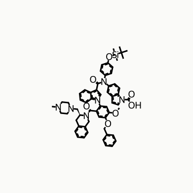 COc1cc(-n2cc(C(=O)N(c3ccc(O[Si](C)(C)C(C)(C)C)cc3)c3ccc4c(ccn4C(=O)O)c3)c3ccccc32)c(C(=O)N2Cc3ccccc3C[C@H]2CN2CCN(C)CC2)cc1OCc1ccccc1